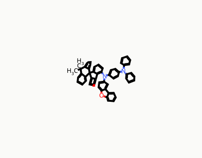 CC1(C)c2ccccc2C2(c3ccccc3-c3c(N(c4ccc(N(c5ccccc5)c5ccccc5)cc4)c4ccc5oc6ccccc6c5c4)cccc32)c2ccccc21